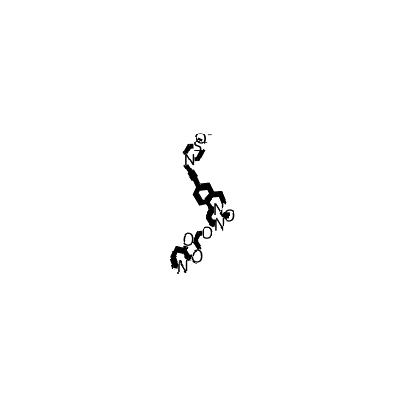 O=c1nc(OCC2COc3ncccc3O2)cc2n1CCc1cc(C#CCN3CC[S+]([O-])CC3)ccc1-2